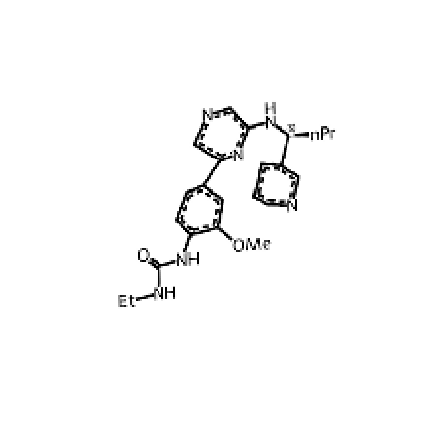 CCC[C@H](Nc1cncc(-c2ccc(NC(=O)NCC)c(OC)c2)n1)c1cccnc1